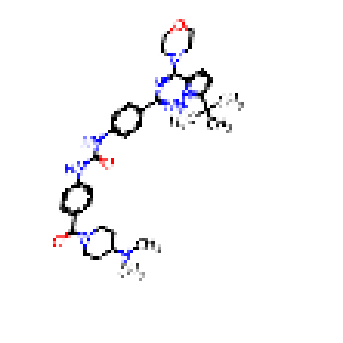 CN(C)C1CCN(C(=O)c2ccc(NC(=O)Nc3ccc(C(=N)/N=C(\c4ccc(C(C)(C)C)[nH]4)N4CCOCC4)cc3)cc2)CC1